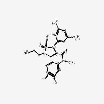 Cc1cc(C(F)(F)F)cc(N2[C@H](C(=O)N(C)c3ccc(F)c(Cl)c3)CN(CCO)S2(=O)=O)n1